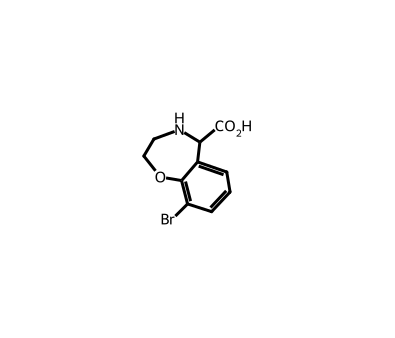 O=C(O)C1NCCOc2c(Br)cccc21